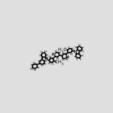 Cc1ccc(-n2c3ccccc3c3ccccc32)cc1-c1cc(-c2ccnc(-c3cc(-n4c5ccccc5c5cc(-c6ccccc6)ccc54)ccc3C)c2)ccn1